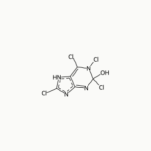 OC1(Cl)N=c2nc(Cl)[nH]c2=C(Cl)N1Cl